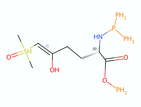 C[SH](C)(=O)/C=C(\O)CC[C@H](NP(P)P)C(=O)OP